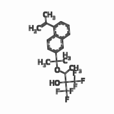 C=C(C)c1cccc2cc(C(C)(C)OC(C)C(O)(C(F)(F)F)C(F)(F)F)ccc12